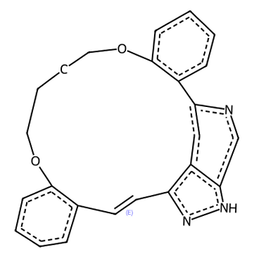 C1=C/c2n[nH]c3cnc(cc23)-c2ccccc2OCCCCOc2ccccc2/1